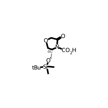 CC(C)(C)[Si](C)(C)OC[C@@H]1COCC(=O)N1C(=O)O